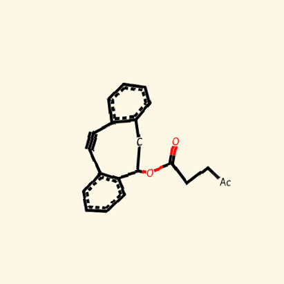 CC(=O)CCC(=O)OC1Cc2ccccc2C#Cc2ccccc21